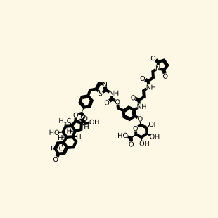 C[C@]12C=CC(=O)C=C1CC[C@@H]1[C@@H]2[C@@H](O)C[C@@]2(C)[C@H]1C[C@H]1O[C@@H](c3ccc(Cc4cnc(NC(=O)OCc5ccc(O[C@@H]6O[C@H](C(=O)O)[C@@H](O)[C@H](O)[C@H]6O)c(NC(=O)CCNC(=O)CCN6C(=O)C=CC6=O)c5)s4)cc3)O[C@]12C(=O)CO